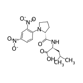 CC(C)C[C@H](NC(=O)[C@H]1CCCN1c1ccc([N+](=O)[O-])cc1[N+](=O)[O-])C(=O)O